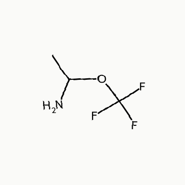 CC(N)OC(F)(F)F